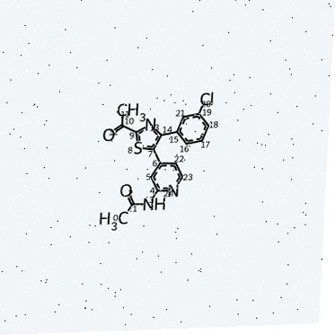 CC(=O)Nc1cc(-c2sc(C(C)=O)nc2-c2cccc(Cl)c2)ccn1